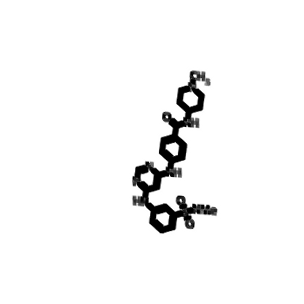 CNS(=O)(=O)c1cccc(Nc2cc(Nc3ccc(C(=O)NC4CCN(C)CC4)cc3)ncn2)c1